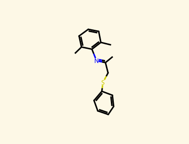 CC(CSc1ccccc1)=Nc1c(C)cccc1C